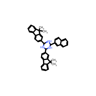 CC1(C)c2ccccc2-c2ccc(C3NC(c4ccc5c(c4)C(C)(C)c4ccccc4-5)NC(c4ccc5ccccc5c4)N3)cc21